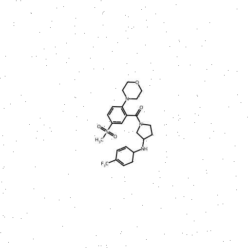 CS(=O)(=O)c1ccc(N2CCOCC2)c(C(=O)N2CCC(NC3C=CC(C(F)(F)F)=CC3)C2)c1